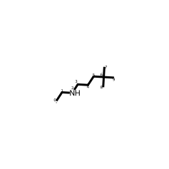 [CH2]CNCCCC(C)(C)C